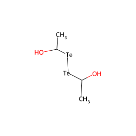 CC(O)[Te][Te]C(C)O